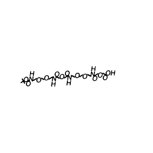 CC(C)(C)OC(=O)NCCOCCOCCNC(=O)COCC(=O)NCCOCCOCCNC(=O)COCC(=O)O